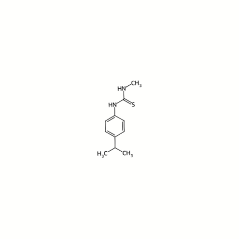 CNC(=S)Nc1ccc(C(C)C)cc1